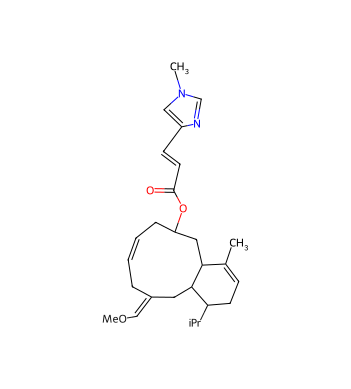 COC=C1C/C=C\CC(OC(=O)C=Cc2cn(C)cn2)CC2C(C)=CCC(C(C)C)C2C1